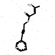 C/C(N)=C/C(=O)OCC#Cc1cccnc1